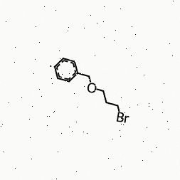 BrCCCOCc1cc[c]cc1